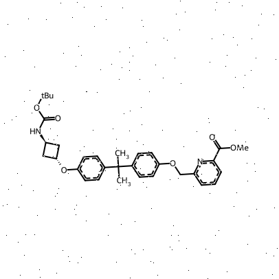 COC(=O)c1cccc(COc2ccc(C(C)(C)c3ccc(O[C@H]4C[C@H](NC(=O)OC(C)(C)C)C4)cc3)cc2)n1